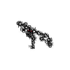 COc1cc(CN2CCN(C3CC4(CCN(c5ccc(C(=O)NS(=O)(=O)c6cc7c(c([N+](=O)[O-])c6)N[C@@H](C6CCOCC6)CO7)c(N6c7cc8ccn(COCC[Si](C)(C)C)c8nc7O[C@H]7COCC[C@@H]76)c5)CC4)C3)[C@H](c3ccccc3C)C2)cnc1N1CCOCC1